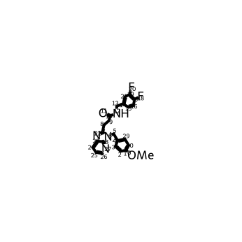 COc1ccc(Cn2c(CCC(=O)NCc3ccc(F)c(F)c3)nc3cccnc32)cc1